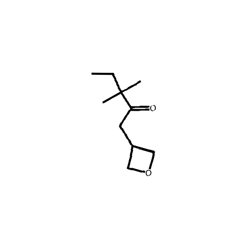 CCC(C)(C)C(=O)CC1COC1